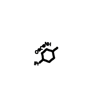 CC1CCC(C(C)C)CC1.N=C=O